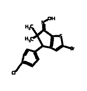 CC1(C)C(=NO)c2sc(Br)cc2C1c1ccc(Cl)cc1